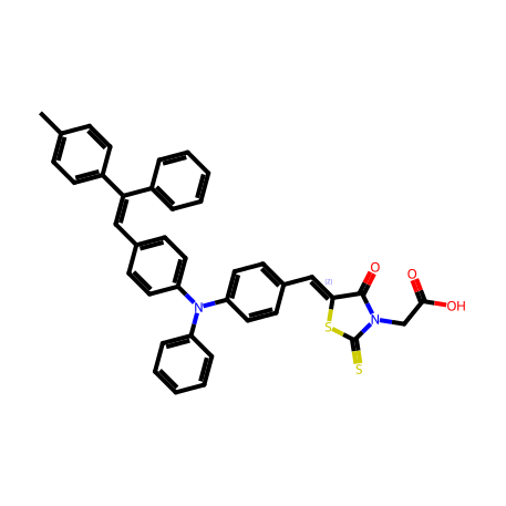 Cc1ccc(C(=Cc2ccc(N(c3ccccc3)c3ccc(/C=C4\SC(=S)N(CC(=O)O)C4=O)cc3)cc2)c2ccccc2)cc1